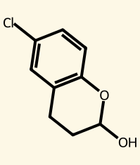 OC1CCc2cc(Cl)ccc2O1